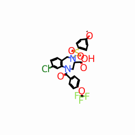 COc1ccc(S(=O)(=O)N2Cc3ccc(Cl)cc3N(C(=O)c3ccc(OC(F)(F)F)cc3)CC2C(=O)O)cc1